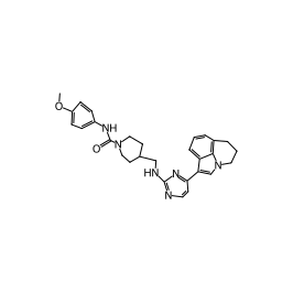 COc1ccc(NC(=O)N2CCC(CNc3nccc(-c4cn5c6c(cccc46)CCC5)n3)CC2)cc1